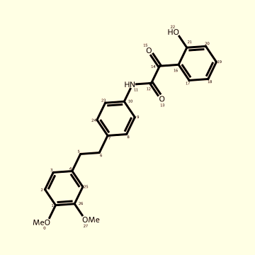 COc1ccc(CCc2ccc(NC(=O)C(=O)c3ccccc3O)cc2)cc1OC